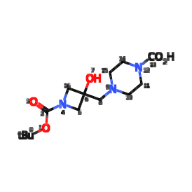 CC(C)(C)OC(=O)N1CC(O)(CN2CCN(C(=O)O)CC2)C1